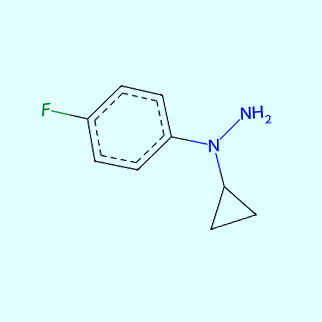 NN(c1ccc(F)cc1)C1CC1